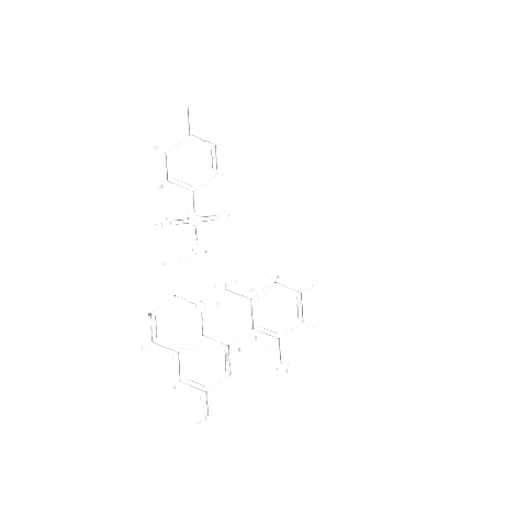 Cc1ccc(S(=O)(=O)OC[C@H]2C=Cc3cc(F)cc(-c4c(Cl)cccc4Cl)c3O2)cc1